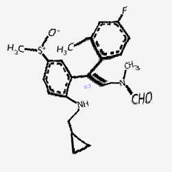 Cc1cc(F)ccc1/C(=C\N(C)C=O)c1cc([S+](C)[O-])ccc1NCC1CC1